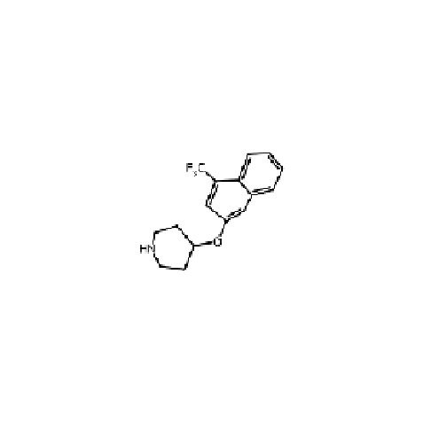 FC(F)(F)c1cc(OC2CCNCC2)cc2ccccc12